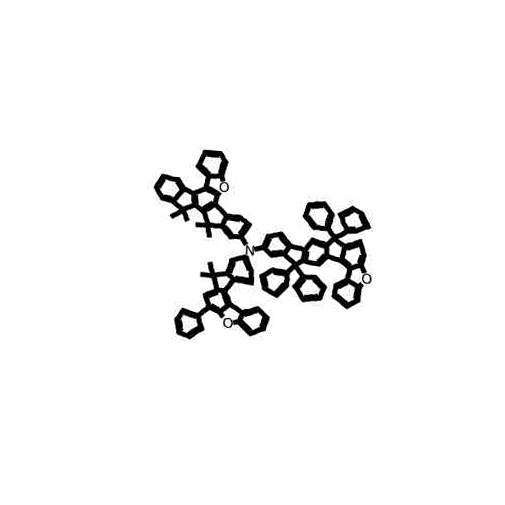 CC1(C)c2cc(N(c3ccc4c(c3)C(C)(C)c3c5c(c6c(oc7ccccc76)c3-4)-c3ccccc3C5(C)C)c3ccc4c(c3)C(c3ccccc3)(c3ccccc3)c3cc5c(cc3-4)C(c3ccccc3)(c3ccccc3)c3ccc4oc6ccccc6c4c3-5)ccc2-c2c1cc(-c1ccccc1)c1oc3ccccc3c21